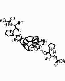 COC(=O)N[C@H](C(=O)N1CCC[C@H]1c1nc2cc(-c3cc4ccc3CCc3ccc(c(-c5ccc6[nH]c([C@@H]7CCCN7C(=O)[C@@H](NC(=O)OC)C(C)C)nc6c5)c3)C[C@H]4C)ccc2[nH]1)C(C)C